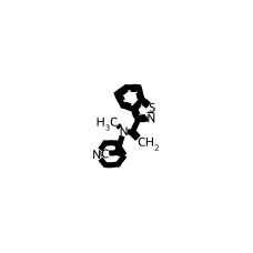 C=C(c1nsc2ccccc12)N(C)C1CN2CCC1CC2